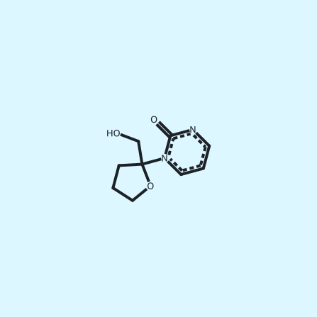 O=c1ncccn1C1(CO)CCCO1